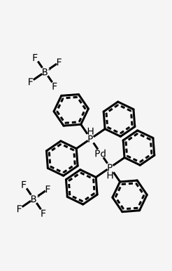 F[B-](F)(F)F.F[B-](F)(F)F.c1ccc([PH]([Pd][PH](c2ccccc2)(c2ccccc2)c2ccccc2)(c2ccccc2)c2ccccc2)cc1